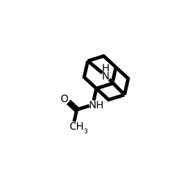 CC(=O)NC12CC3CC(C1)NC(C3)C2